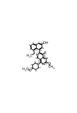 CCc1cccc2cc(O)cc(-c3ncc4c(N5CCC(OC)CC5)nc(OC)nc4c3F)c12